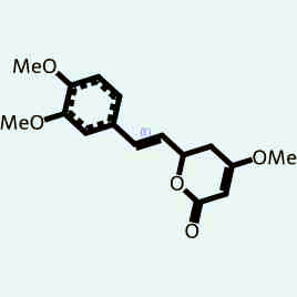 COC1=CC(=O)OC(/C=C/c2ccc(OC)c(OC)c2)C1